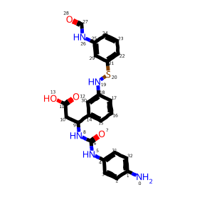 Nc1ccc(NC(=O)NC(CC(=O)O)c2cccc(NSc3cccc(NC=O)c3)c2)cc1